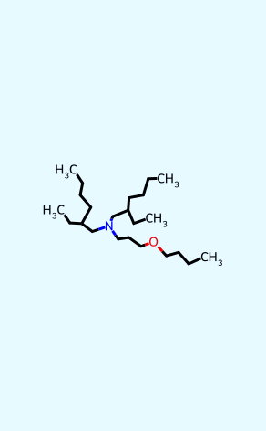 CCCCOCCCN(CC(CC)CCCC)CC(CC)CCCC